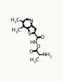 Cc1cnc2cc(C(=O)NOC(=O)[C@@H](C)N)sc2c1C